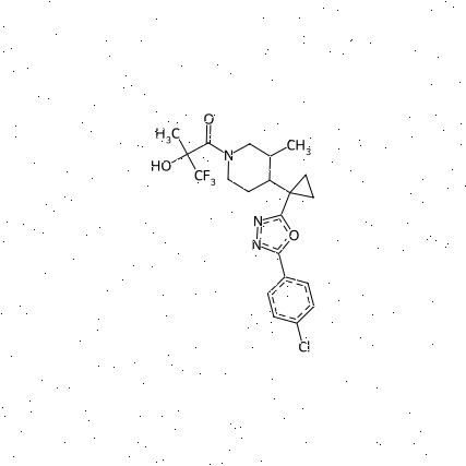 CC1CN(C(=O)C(C)(O)C(F)(F)F)CCC1C1(c2nnc(-c3ccc(Cl)cc3)o2)CC1